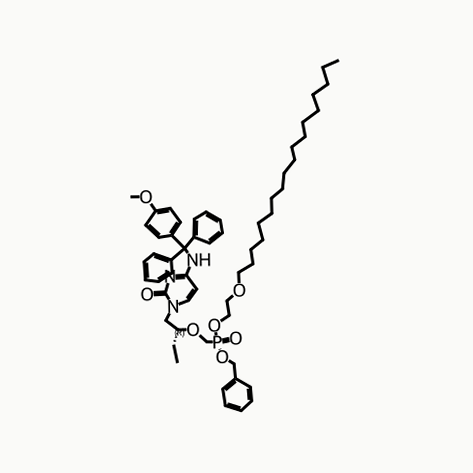 CCCCCCCCCCCCCCCCCCOCCOP(=O)(CO[C@H](CC)Cn1ccc(NC(c2ccccc2)(c2ccccc2)c2ccc(OC)cc2)nc1=O)OCc1ccccc1